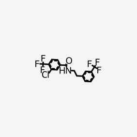 O=C(NCCc1cccc(C(F)(F)F)c1)c1ccc(C(F)(F)F)c(Cl)c1